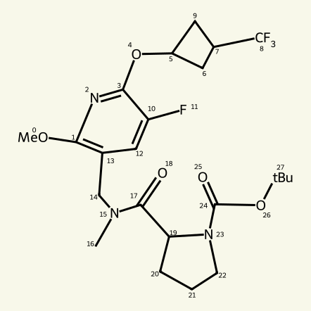 COc1nc(OC2CC(C(F)(F)F)C2)c(F)cc1CN(C)C(=O)C1CCCN1C(=O)OC(C)(C)C